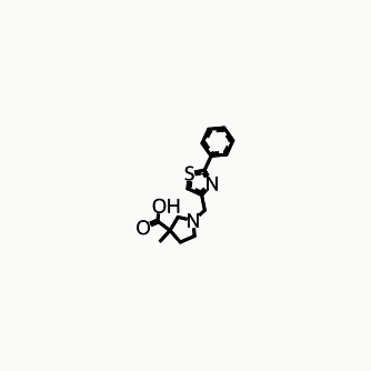 CC1(C(=O)O)CCN(Cc2csc(-c3ccccc3)n2)C1